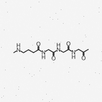 CNCCCC(=O)NCC(=O)NCC(=O)NCC(C)=O